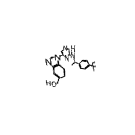 CC(Nc1cncc(-n2cnc3cc(CO)ccc32)n1)c1ccc(F)cc1